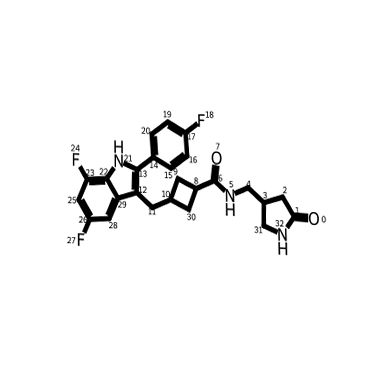 O=C1CC(CNC(=O)C2CC(Cc3c(-c4ccc(F)cc4)[nH]c4c(F)cc(F)cc34)C2)CN1